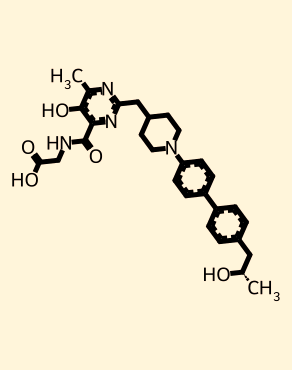 Cc1nc(CC2CCN(c3ccc(-c4ccc(C[C@H](C)O)cc4)cc3)CC2)nc(C(=O)NCC(=O)O)c1O